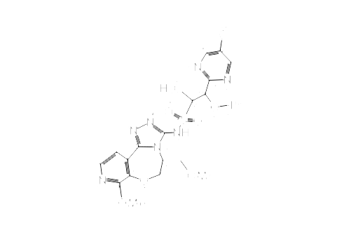 COC[C@@H]1COc2c(ccnc2OC)-c2nnc(NS(=O)(=O)C(C)C(OC(C)C)c3ncc(Cl)cn3)n21